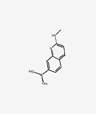 CNc1ccc2ccc(B(O)O)cc2n1